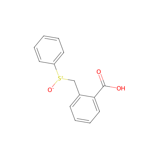 O=C(O)c1ccccc1C[S+]([O-])c1ccccc1